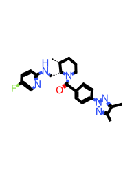 Cc1nn(-c2ccc(C(=O)N3CCC[C@@H](C)[C@H]3CNc3ccc(F)cn3)cc2)nc1C